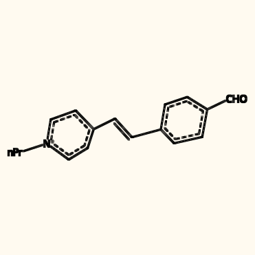 CCC[n+]1ccc(C=Cc2ccc(C=O)cc2)cc1